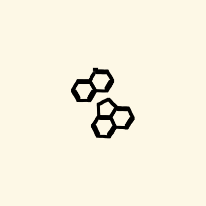 c1cc2c3c(cccc3c1)CC2.c1ccc2ncccc2c1